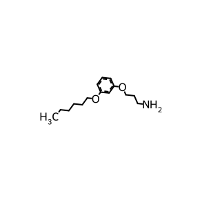 CCCCCCOc1cccc(OCCCN)c1